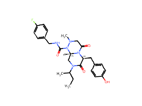 CCC(C)N1C[C@H]2N(C(=O)CN(C)N2C(=O)NCc2ccc(F)cc2)[C@@H](Cc2ccc(O)cc2)C1=O